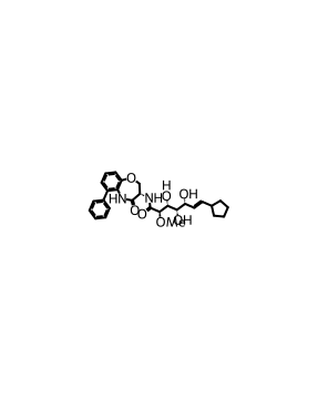 CO[C@@H](C(=O)N[C@H]1COc2cccc(-c3ccccc3)c2NC1=O)[C@H](O)[C@@H](O)[C@H](O)/C=C/C1CCCC1